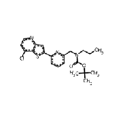 CCCN(Cc1cccc(-c2cc3nccc(Cl)c3s2)n1)C(=O)OC(C)(C)C